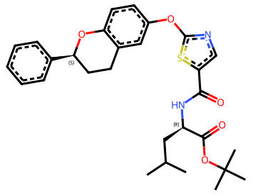 CC(C)C[C@@H](NC(=O)c1cnc(Oc2ccc3c(c2)CC[C@@H](c2ccccc2)O3)s1)C(=O)OC(C)(C)C